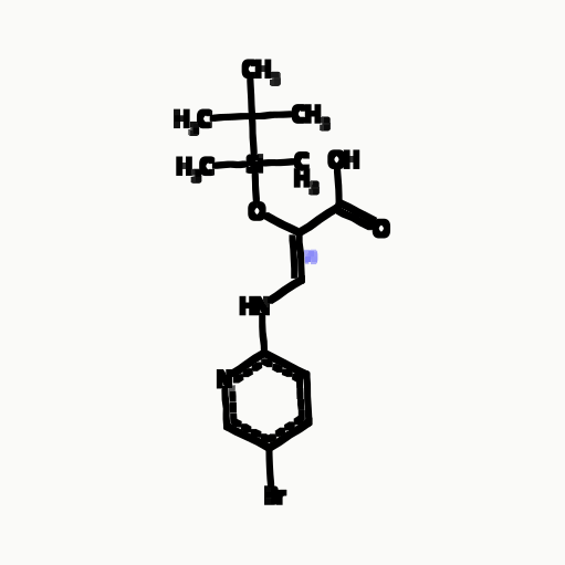 CC(C)(C)[Si](C)(C)O/C(=C\Nc1ccc(Br)cn1)C(=O)O